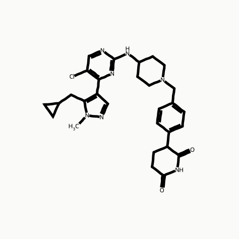 Cn1ncc(-c2nc(NC3CCN(Cc4ccc(C5CCC(=O)NC5=O)cc4)CC3)ncc2Cl)c1CC1CC1